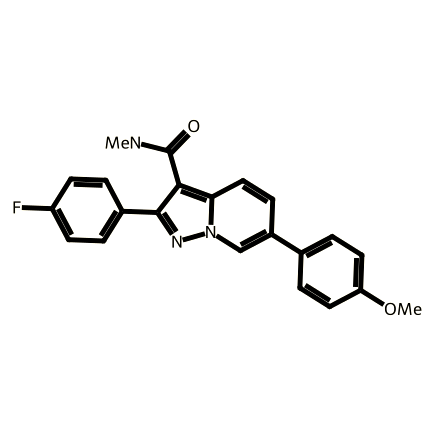 CNC(=O)c1c(-c2ccc(F)cc2)nn2cc(-c3ccc(OC)cc3)ccc12